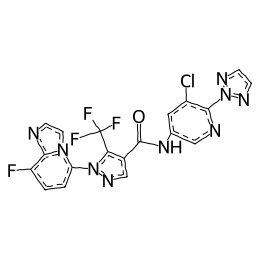 O=C(Nc1cnc(-n2nccn2)c(Cl)c1)c1cnn(-c2ccc(F)c3nccn23)c1C(F)(F)F